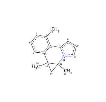 Cc1cccc2c1-c1cccn1C1(C)CC21C